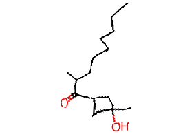 CCCCCCCC(C)C(=O)C1CC(C)(O)C1